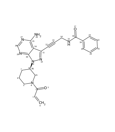 C=CC(=O)N1CCC[C@@H](n2nc(C#CCNC(=O)c3ccccc3)c3c(N)ncnc32)C1